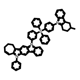 CC1CCc2c(c3ccccc3n2-c2ccc(S(c3ccccc3)(c3ccccc3)c3cccc(-n4c5ccccc5c5cc6c(cc54)c4c(n6-c5ccccc5)C=CCCC4)c3)cc2)C1